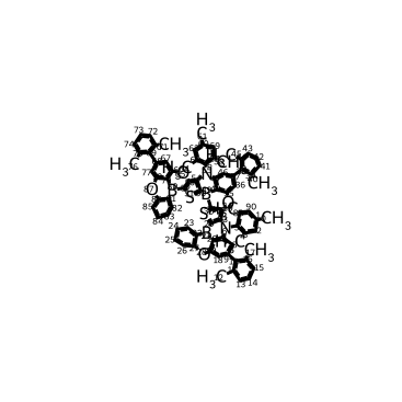 Cc1cc(C)c(N2c3cc(-c4c(C)cccc4C)cc4c3B(c3ccccc3O4)c3sc4c(c32)Oc2cc(-c3c(C)cccc3C)cc3c2B4c2sc4c(c2N3c2c(C)cc(C)cc2C)Oc2cc(-c3c(C)cccc3C)cc3c2B4c2ccccc2O3)c(C)c1